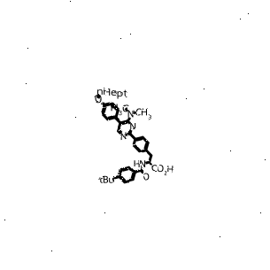 CCCCCCCOc1ccc(-c2cnc(-c3ccc(CC(NC(=O)c4ccc(C(C)(C)C)cc4)C(=O)O)cc3)nc2N(C)C)cc1